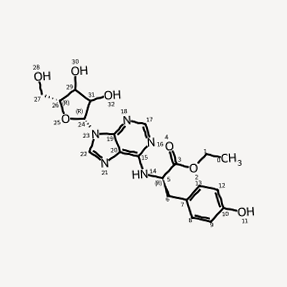 CCOC(=O)[C@@H](Cc1ccc(O)cc1)Nc1ncnc2c1ncn2[C@@H]1O[C@H](CO)C(O)C1O